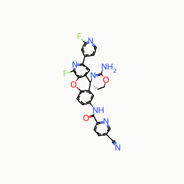 N#Cc1ccc(C(=O)Nc2ccc3c(c2)[C@@]2(CCOC(N)=N2)c2cc(-c4ccnc(F)c4)nc(F)c2O3)nc1